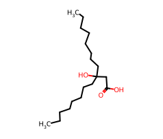 CCCCCCCCC(O)(CCCCCCCC)CC(=O)O